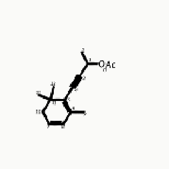 CC(=O)OC(C)C#CC1=C(C)C=CCC1(C)C